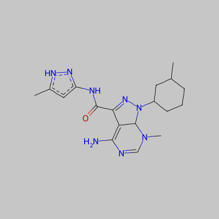 Cc1cc(NC(=O)C2=NN(C3CCCC(C)C3)C3C2=C(N)N=CN3C)n[nH]1